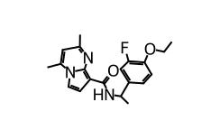 CCOc1ccc(C(C)NC(=O)c2ccn3c(C)cc(C)nc23)cc1F